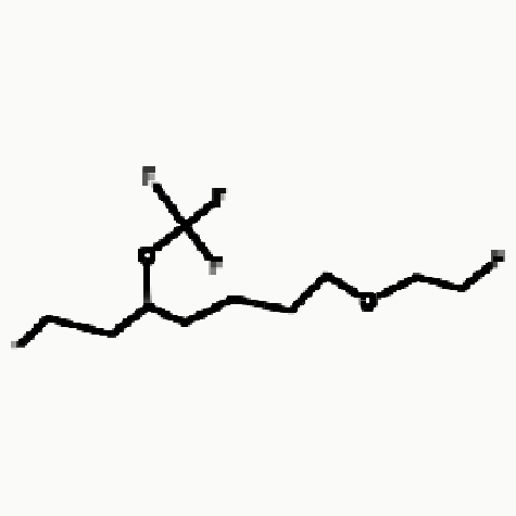 [CH2]CCC(CCCCOCCF)OC(F)(F)F